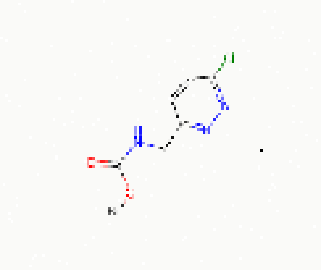 CC(C)(C)OC(=O)NCc1ccc(Cl)nn1